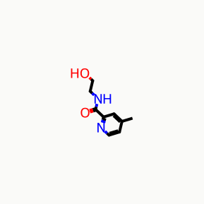 Cc1ccnc(C(=O)NCCO)c1